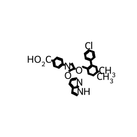 CC1(C)CCC(COC2CN(c3ccc(C(=O)O)cc3)C2Oc2cnc3[nH]ccc3c2)=C(c2ccc(Cl)cc2)C1